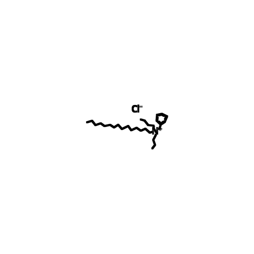 CCCCCCCCCCCCCCC[N+](CCCC)(CCCC)Cc1ccccc1.[Cl-]